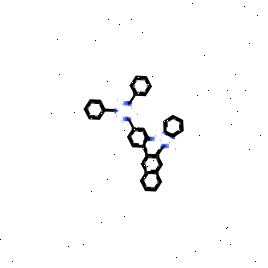 c1ccc(-c2nc(-c3ccccc3)nc(-c3ccc4c5cc6ccccc6cc5c5nc6ccccc6n5c4c3)n2)cc1